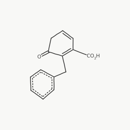 O=C(O)C1=C(Cc2ccccc2)C(=O)CC=C1